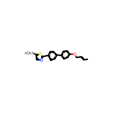 CC=CCOc1ccc(-c2ccc(-c3ncc(CCCCCCCC)s3)cc2)cc1